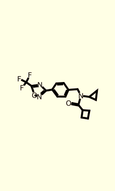 O=C(C1CCC1)N(Cc1ccc(-c2noc(C(F)(F)F)n2)cc1)C1CC1